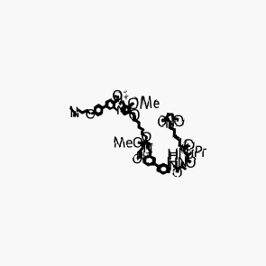 COc1c(OCCCCCOc2cn3c(c2OC)C=[N+]([O-])C2=CC=C(c4cccc(NC(=O)C(C)NC(=O)C(NC(=O)CCCCCN5C(=O)C=CC5=O)C(C)C)c4)CC2C3)cn2c1C=[N+]([O-])C1=CC=C(c3ccc(OCCCN(C)C)cc3)CC1C2